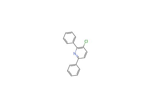 Clc1ccc(-c2ccccc2)nc1-c1ccccc1